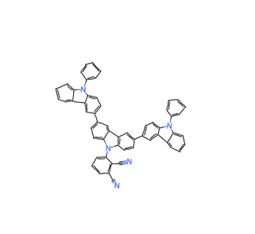 N#Cc1cccc(-n2c3ccc(-c4ccc5c(c4)c4ccccc4n5-c4ccccc4)cc3c3cc(-c4ccc5c(c4)c4ccccc4n5-c4ccccc4)ccc32)c1C#N